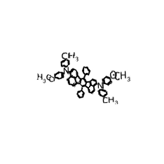 COc1ccc(N(c2ccc(C)cc2)c2ccc3c4c(-c5ccccc5)c5c6ccc(N(c7ccc(C)cc7)c7ccc(OC)cc7)c7cccc(c5c(-c5ccccc5)c4c4cccc2c43)c76)cc1